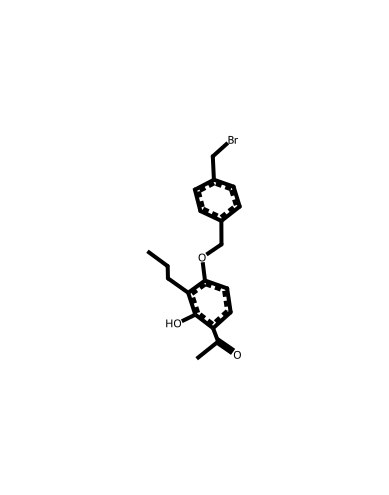 CCCc1c(OCc2ccc(CBr)cc2)ccc(C(C)=O)c1O